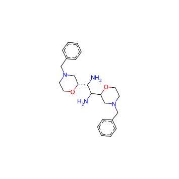 NC(C1CN(Cc2ccccc2)CCO1)C(N)[C@H]1CN(Cc2ccccc2)CCO1